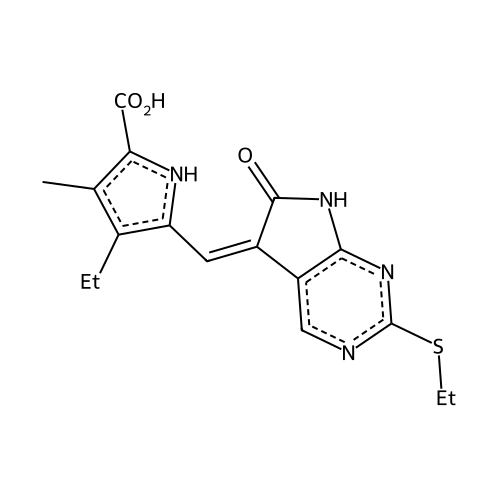 CCSc1ncc2c(n1)NC(=O)C2=Cc1[nH]c(C(=O)O)c(C)c1CC